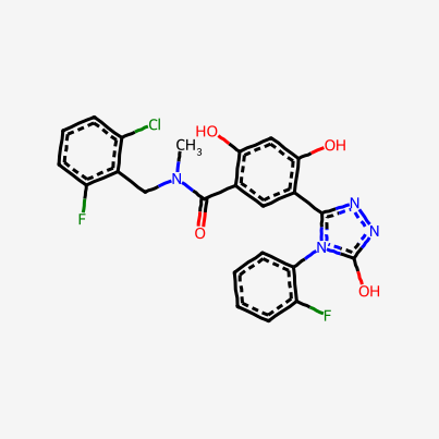 CN(Cc1c(F)cccc1Cl)C(=O)c1cc(-c2nnc(O)n2-c2ccccc2F)c(O)cc1O